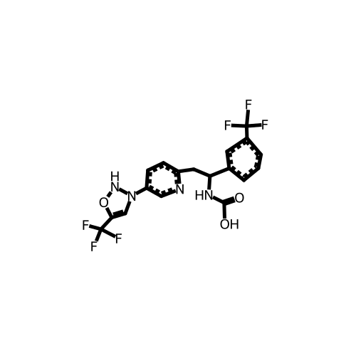 O=C(O)NC(Cc1ccc(N2C=C(C(F)(F)F)ON2)cn1)c1cccc(C(F)(F)F)c1